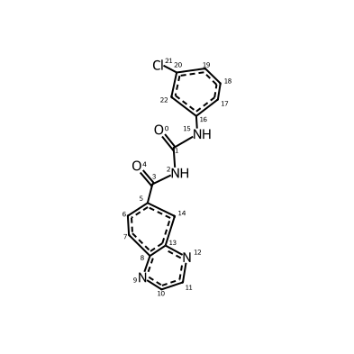 O=C(NC(=O)c1ccc2nccnc2c1)Nc1cccc(Cl)c1